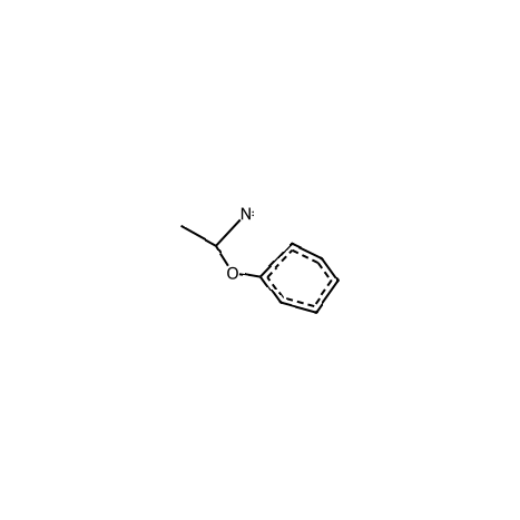 CC([N])Oc1ccccc1